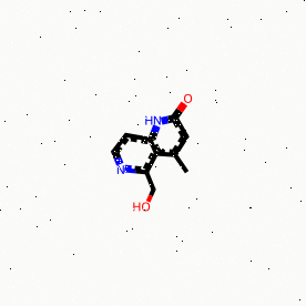 Cc1cc(=O)[nH]c2ccnc(CO)c12